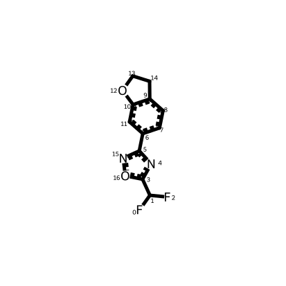 FC(F)c1nc(-c2ccc3c(c2)OCC3)no1